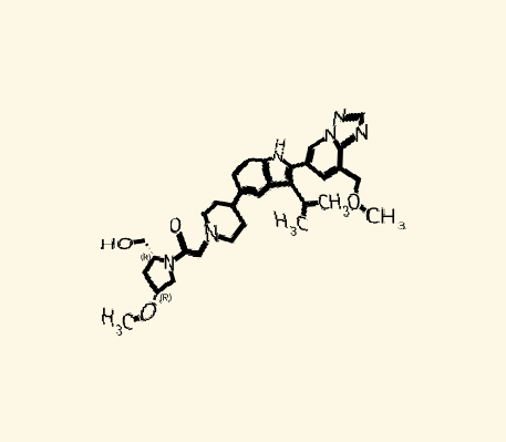 COCc1cc(-c2[nH]c3ccc(C4CCN(CC(=O)N5C[C@H](OC)C[C@@H]5CO)CC4)cc3c2C(C)C)cn2ncnc12